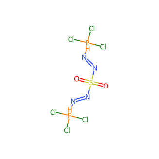 O=S(=O)(N=N[PH](Cl)(Cl)Cl)N=N[PH](Cl)(Cl)Cl